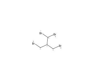 BrCC(CBr)C(Br)Br